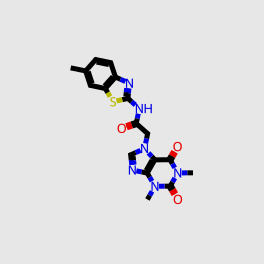 Cc1ccc2nc(NC(=O)Cn3cnc4c3c(=O)n(C)c(=O)n4C)sc2c1